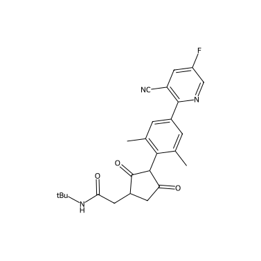 Cc1cc(-c2ncc(F)cc2C#N)cc(C)c1C1C(=O)CC(CC(=O)NC(C)(C)C)C1=O